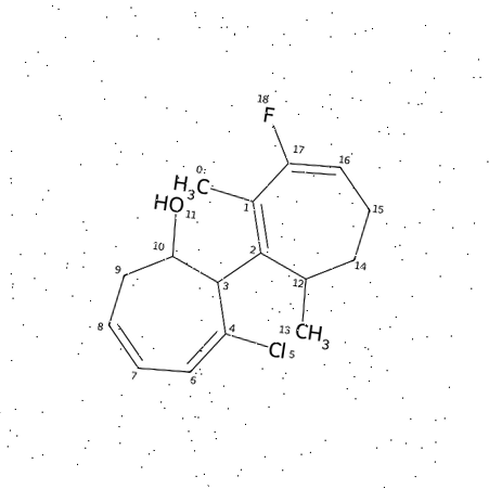 CC1=C(C2C(Cl)=CC=CCC2O)C(C)CCC=C1F